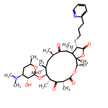 CC[C@H]1OC(=O)[C@H](C)C(=O)[C@H](C)[C@@H](O[C@@H]2O[C@H](C)C[C@H](N(C)C)[C@H]2O)[C@](C)(OC)C[C@@H](C)C(=O)[C@H](C)[C@H]2[C@H](SCCCc3ccccn3)C(=O)O[C@@]21C